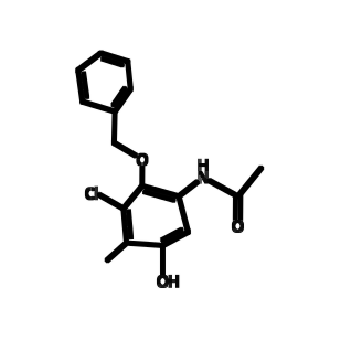 CC(=O)Nc1cc(O)c(C)c(Cl)c1OCc1ccccc1